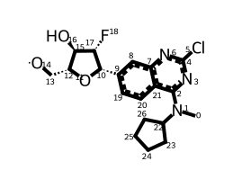 CN(c1nc(Cl)nc2cc([C@@H]3O[C@H](C[O])[C@@H](O)[C@@H]3F)ccc12)C1CCCC1